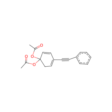 CC(=O)OC1(OC(C)=O)C=CC(C#Cc2ccccc2)=CC1